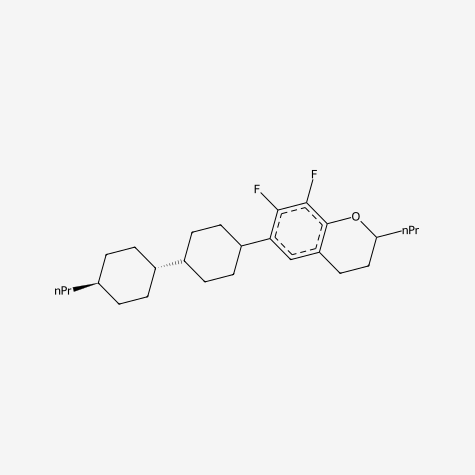 CCCC1CCc2cc(C3CCC([C@H]4CC[C@H](CCC)CC4)CC3)c(F)c(F)c2O1